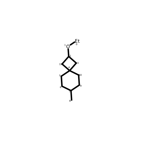 CCOC1CC2(CCC(C)CC2)C1